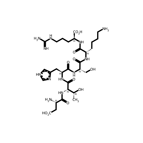 C[C@@H](O)[C@H](NC(=O)[C@@H](N)CC(=O)O)C(=O)N[C@@H](Cc1c[nH]cn1)C(=O)N[C@@H](CO)C(=O)N[C@@H](CCCCN)C(=O)N[C@@H](CCCNC(=N)N)C(=O)O